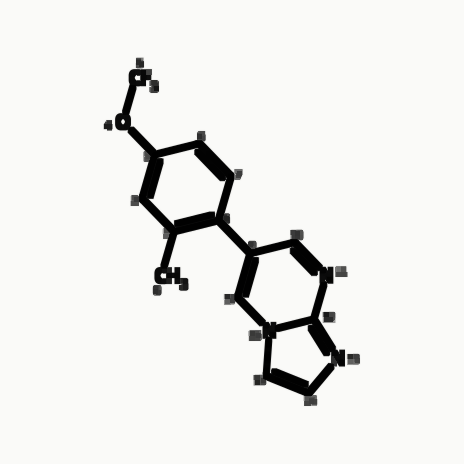 Cc1cc(OC(F)(F)F)ccc1-c1cnc2nccn2c1